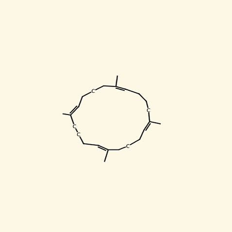 C/C1=C/CCC/C(C)=C/CCC/C(C)=C/CCC/C(C)=C/CCC1